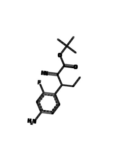 CCC(C(=N)C(=O)OC(C)(C)C)c1ccc(N)cc1F